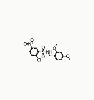 COc1ccc(CNS(=O)(=O)c2cc([N+](=O)[O-])ccc2Cl)c(OC)c1